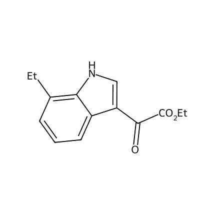 CCOC(=O)C(=O)c1c[nH]c2c(CC)cccc12